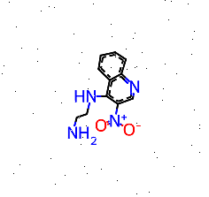 NCCNc1c([N+](=O)[O-])cnc2ccccc12